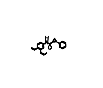 C=Cc1ccc(NC(=O)C2C[C@H]2c2ccccc2)cc1/C=C\C